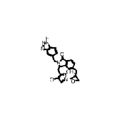 Cn1ncc(Cl)c1CC1c2cc(CC3COC3)ccc2C(=O)N1Cc1ccc2[nH]nnc2c1